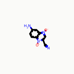 N#Cc1c[n+]([O-])c2cc(N)ccc2[n+]1[O-]